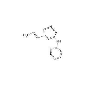 [CH2]/C=C/c1cncc(Nc2ccccc2)c1